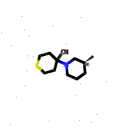 C[C@@H]1CCCN(C2(C#N)CCSCC2)C1